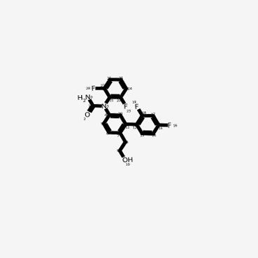 NC(=O)N(c1ccc(CCO)c(-c2ccc(F)cc2F)c1)c1c(F)cccc1F